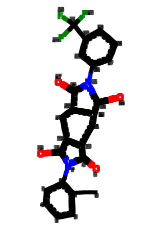 Cc1ccccc1-n1c(=O)c2cc3c(=O)n(-c4cccc(C(F)(F)F)c4)c(=O)c3cc2c1=O